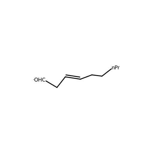 CCCCCC=CC[C]=O